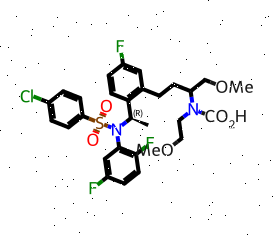 COCCN(C(=O)O)C(CCc1cc(F)ccc1[C@@H](C)N(c1cc(F)ccc1F)S(=O)(=O)c1ccc(Cl)cc1)COC